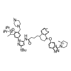 CC(C)[Si]1(C(C)C)Oc2c(CN3CCN(C)CC3)cc(-n3nc(C(C)(C)C)cc3NC(=O)CCCC3CC[C@@H](Oc4ccc5nnc(N6CCCC[C@@H]6C)n5c4)c4ccccc43)cc2C1C